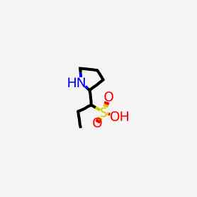 CCC(C1CCCN1)S(=O)(=O)O